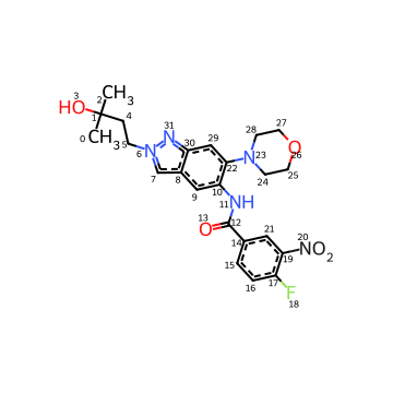 CC(C)(O)CCn1cc2cc(NC(=O)c3ccc(F)c([N+](=O)[O-])c3)c(N3CCOCC3)cc2n1